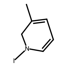 CC1=CC=CN(I)C1